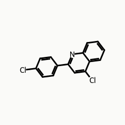 Clc1ccc(-c2cc(Cl)c3ccccc3n2)cc1